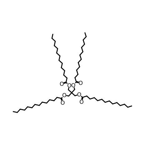 CCCCCCCCCCCCCC(=O)OCC(COC(=O)CCCCCCCCCCCCC)(COC(=O)CCCCCCCCCCCCC)COC(=O)CCCCCCCCCCCCC